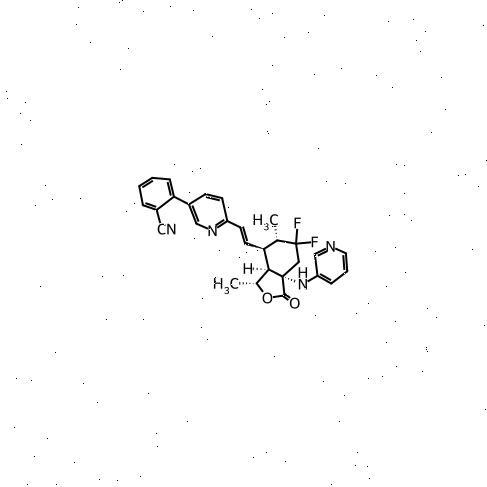 C[C@H]1OC(=O)[C@]2(Nc3cccnc3)CC(F)(F)[C@@H](C)[C@H](/C=C/c3ccc(-c4ccccc4C#N)cn3)[C@H]12